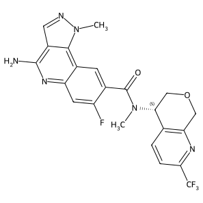 CN(C(=O)c1cc2c(cc1F)nc(N)c1cnn(C)c12)[C@@H]1COCc2nc(C(F)(F)F)ccc21